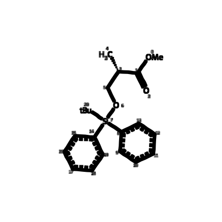 COC(=O)[C@@H](C)CO[Si](c1ccccc1)(c1ccccc1)C(C)(C)C